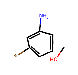 CO.Nc1cccc(Br)c1